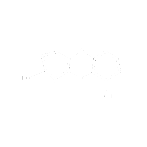 Oc1ccc2c(c1)Oc1c(O)cccc1O2